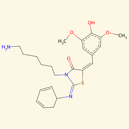 COc1cc(/C=C2/S/C(=N/C3C=CC=CC3)N(CCCCCCN)C2=O)cc(OC)c1O